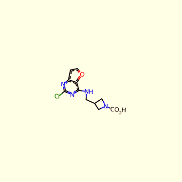 O=C(O)N1CC(CNc2nc(Cl)nc3ccoc23)C1